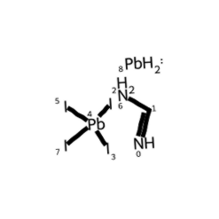 N=CN.[I][Pb]([I])([I])[I].[PbH2]